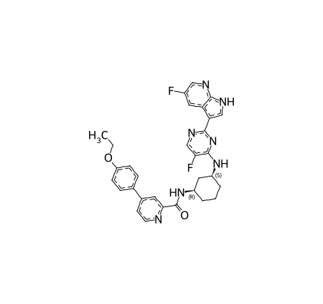 CCOc1ccc(-c2ccnc(C(=O)N[C@@H]3CCC[C@H](Nc4nc(-c5c[nH]c6ncc(F)cc56)ncc4F)C3)c2)cc1